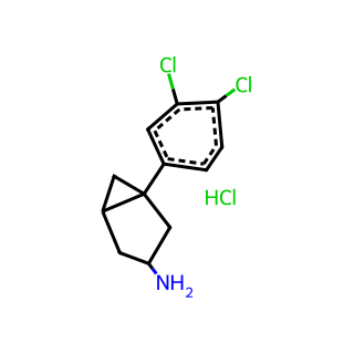 Cl.NC1CC2CC2(c2ccc(Cl)c(Cl)c2)C1